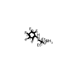 CCC(CC)(CNc1c(F)c(F)c(F)c(F)c1F)O[SiH3]